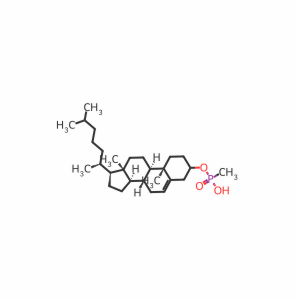 CC(C)CCC[C@H](C)[C@@H]1CC[C@@H]2[C@H]3CC=C4CC(OP(C)(=O)O)CC[C@@]4(C)[C@@H]3CC[C@]21C